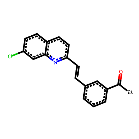 [CH2]CC(=O)c1cccc(C=Cc2ccc3ccc(Cl)cc3n2)c1